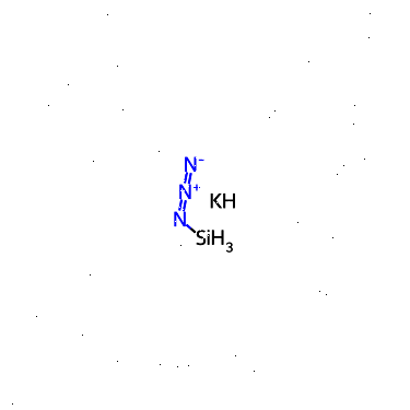 [KH].[N-]=[N+]=N[SiH3]